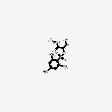 Cc1cc(C)c(S(=O)(=O)NC(CC(C)C)C(=O)NO)c(C)c1